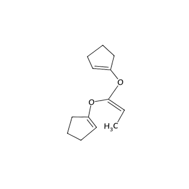 CC=C(OC1=CCCC1)OC1=CCCC1